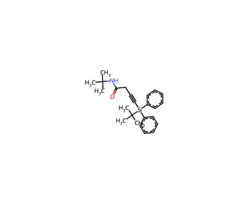 CC(C)(C)NC(=O)CC#C[Si](c1ccccc1)(c1ccccc1)C(C)(C)C